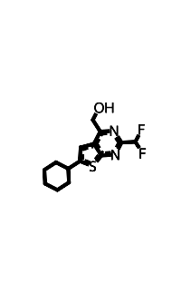 OCc1nc(C(F)F)nc2sc(C3CCCCC3)cc12